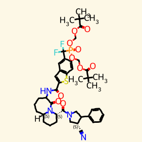 CC(C)(C)C(=O)OCOP(=O)(OCOC(=O)C(C)(C)C)C(F)(F)c1ccc2sc(C(=O)NC3CCC[C@H]4CCC[C@@H](C(=O)N5CC(c6ccccc6)[C@H](C#N)C5)N4C3=O)cc2c1